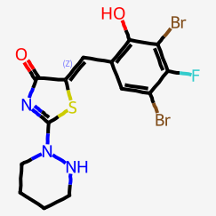 O=C1N=C(N2CCCCN2)S/C1=C\c1cc(Br)c(F)c(Br)c1O